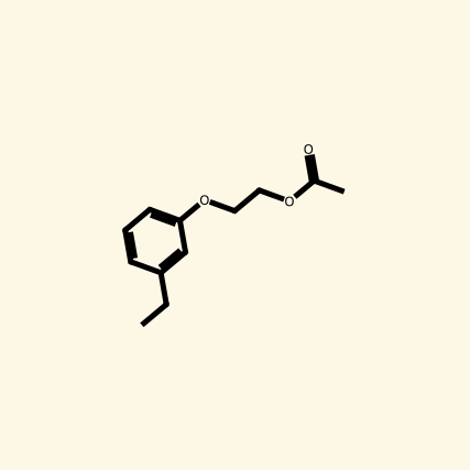 CCc1cccc(OCCOC(C)=O)c1